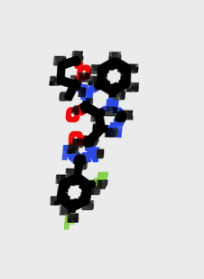 CC1(N2C(=O)C3C(c4nc(-c5ccc(F)cc5F)no4)N=CN3c3ccccc32)CCCO1